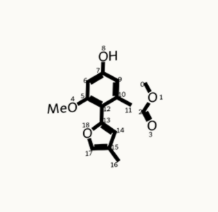 COC=O.COc1cc(O)cc(C)c1-c1cc(C)co1